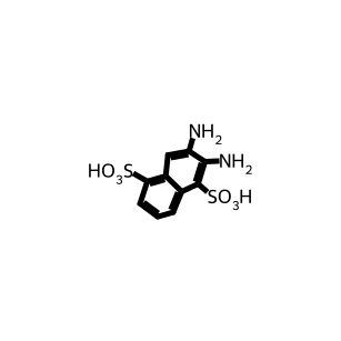 Nc1cc2c(S(=O)(=O)O)cccc2c(S(=O)(=O)O)c1N